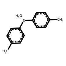 Cc1ccc(Sc2ccc(C)cc2)cc1.O